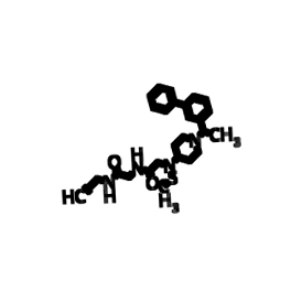 C#CCNC(=O)CNC(=O)CN(SC)C1CCN(C(C)c2cccc(-c3ccccc3)c2)CC1